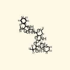 CCCC(NC(=O)[C@@H]1CC2(CN1C(=O)C(O)C(C)(C)C)SCCCS2)C(=O)C(=O)NCC(=O)NC(C(=O)N(C)C)c1ccccc1